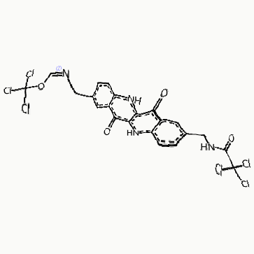 O=C(NCc1ccc2[nH]c3c(=O)c4cc(C/N=C\OC(Cl)(Cl)Cl)ccc4[nH]c3c(=O)c2c1)C(Cl)(Cl)Cl